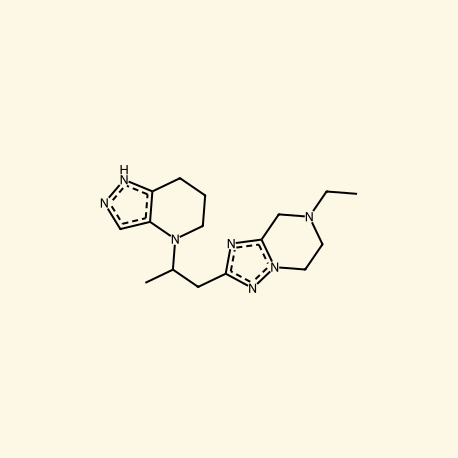 CCN1CCn2nc(CC(C)N3CCCc4[nH]ncc43)nc2C1